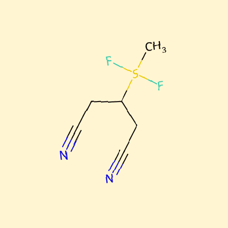 CS(F)(F)C(CC#N)CC#N